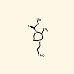 CC1CN(CCC=O)CCN1C(=O)OC(C)(C)C